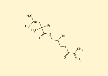 C=C(C)C(=O)OCC(O)COC(=O)C(C)(C=C(C)C)C(C)C